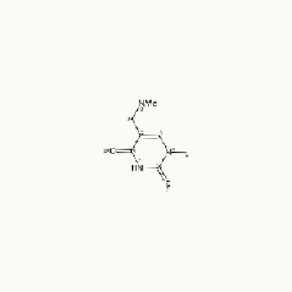 CNCc1cn(C)c(=S)[nH]c1=O